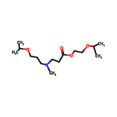 CC(C)OCCCN(C)CCC(=O)OCCOC(C)C